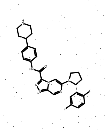 O=C(Nc1ccc(C2CCNCC2)cc1)c1nnc2cnc(N3CCC[C@@H]3c3cc(F)ccc3F)cn12